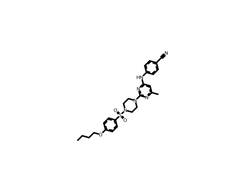 CCCCOc1ccc(S(=O)(=O)N2CCN(c3nc(C)cc(Nc4ccc(C#N)cc4)n3)CC2)cc1